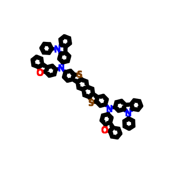 c1ccc(-n2c3ccccc3c3ccc(N(c4ccc5c(c4)sc4cc6cc7c(cc6cc45)sc4cc(N(c5ccc6oc8ccccc8c6c5)c5ccc6c8ccccc8n(-c8ccccc8)c6c5)ccc47)c4ccc5oc6ccccc6c5c4)cc32)cc1